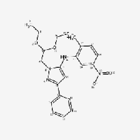 CCOC(Cn1nc(-c2cccnc2)cc1Nc1cc([N+](=O)[O-])ccc1C)OCC